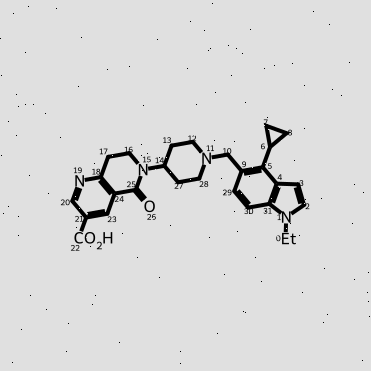 CCn1ccc2c(C3CC3)c(CN3CCC(N4CCc5ncc(C(=O)O)cc5C4=O)CC3)ccc21